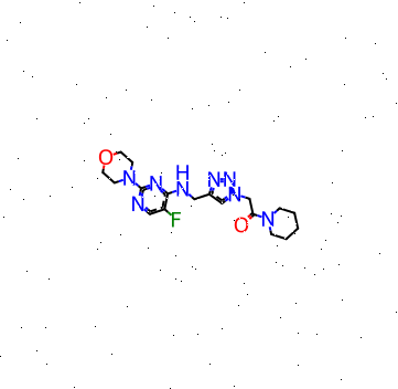 O=C(Cn1cc(CNc2nc(N3CCOCC3)ncc2F)nn1)N1CCCCC1